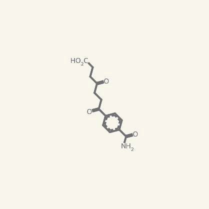 NC(=O)c1ccc(C(=O)CCC(=O)CCC(=O)O)cc1